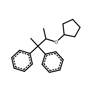 CC(OC1CCCC1)C(C)(c1ccccc1)c1ccccc1